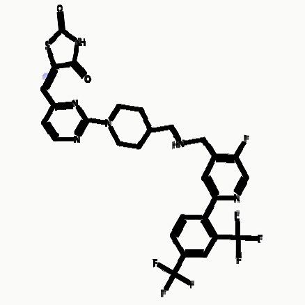 O=C1NC(=O)/C(=C\c2ccnc(N3CCC(CNCc4cc(-c5ccc(C(F)(F)F)cc5C(F)(F)F)ncc4F)CC3)n2)S1